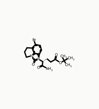 CC(C)(C)OC(=O)CC[C@H](C(N)=O)n1c(=O)n2c3c(c(Br)ccc31)CCC2